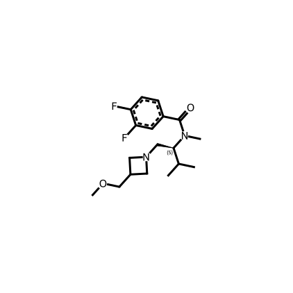 COCC1CN(C[C@H](C(C)C)N(C)C(=O)c2ccc(F)c(F)c2)C1